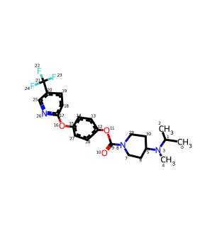 CC(C)N(C)C1CCN(C(=O)Oc2ccc(Oc3ccc(C(F)(F)F)cn3)cc2)CC1